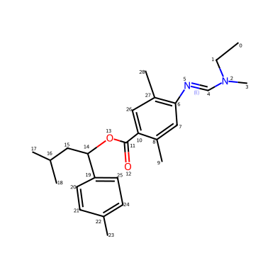 CCN(C)/C=N/c1cc(C)c(C(=O)OC(CC(C)C)c2ccc(C)cc2)cc1C